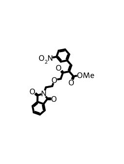 COC(=O)/C(=C/c1cccc([N+](=O)[O-])c1)C(=O)COCCN1C(=O)c2ccccc2C1=O